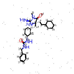 CN1C(=N)N[C@](CCC2CCCCC2)(C[C@H]2CCC[C@@H](NC(=O)NCc3ccccc3)C2)C1=O